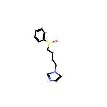 [O-][S+](CCCCn1ccnc1)c1ccccc1